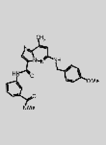 CNC(=O)c1cccc(NC(=O)c2cnc3c(C)cc(NCc4ccc(OC)cc4)nn23)c1